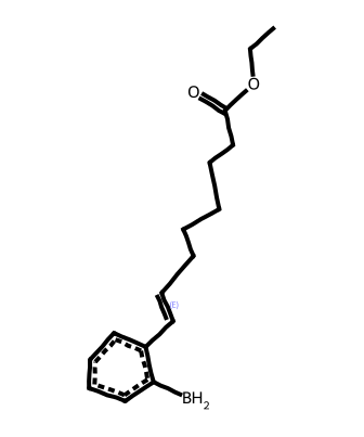 Bc1ccccc1/C=C/CCCCCC(=O)OCC